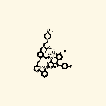 CCOC(=O)[C@@H](Cc1cc(CN(CCN2CCN(C)CC2)C(=O)OC(C)(C)C)ccc1OCc1ccnc(-c2ccccc2OC)n1)Oc1ncnc2sc(-c3ccc(F)cc3)c(-c3ccc(C=O)c(C)c3C)c12